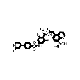 O=C(NC(Cc1ccc(B(O)O)c2ncccc12)C(=O)O)c1c(F)cc(NS(=O)(=O)c2ccc(-c3ccnc(F)c3)cc2)cc1F